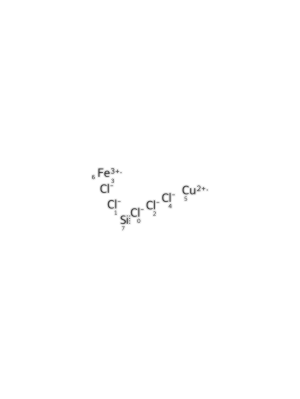 [Cl-].[Cl-].[Cl-].[Cl-].[Cl-].[Cu+2].[Fe+3].[Si]